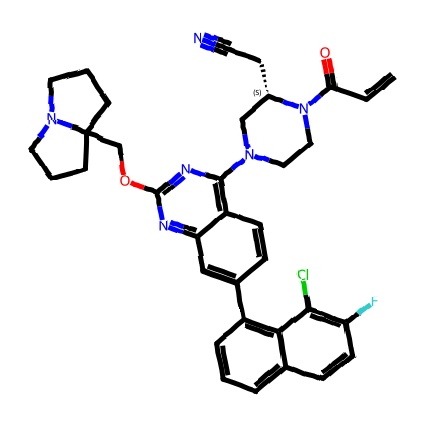 C=CC(=O)N1CCN(c2nc(OCC34CCCN3CCC4)nc3cc(-c4cccc5ccc(F)c(Cl)c45)ccc23)C[C@@H]1CC#N